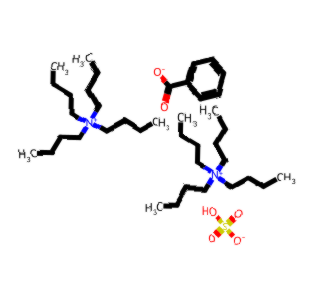 CCCC[N+](CCCC)(CCCC)CCCC.CCCC[N+](CCCC)(CCCC)CCCC.O=C([O-])c1ccccc1.O=S(=O)([O-])O